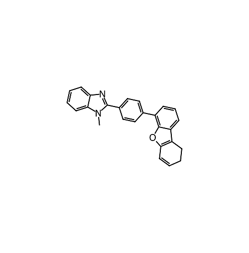 Cn1c(-c2ccc(-c3cccc4c5c(oc34)C=CCC5)cc2)nc2ccccc21